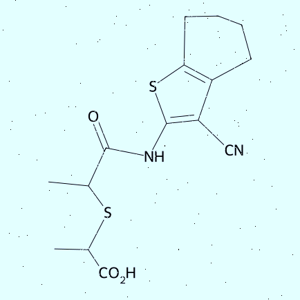 CC(SC(C)C(=O)Nc1sc2c(c1C#N)CCCC2)C(=O)O